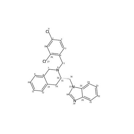 Clc1ccc(CN2Cc3ccccc3C[C@H]2Cn2cnc3ccccc32)c(Cl)c1